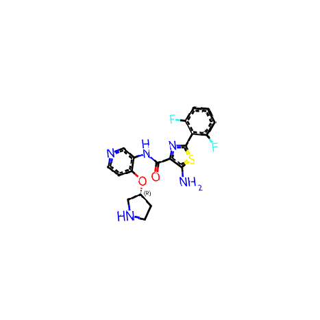 Nc1sc(-c2c(F)cccc2F)nc1C(=O)Nc1cnccc1O[C@@H]1CCNC1